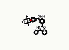 O=C(N[C@H](c1ccccn1)C1CCCC1)c1ccc2[nH]nc(-c3ccc(N4[C@@H]5COC[C@H]4C[C@H](O)C5)cc3)c2c1